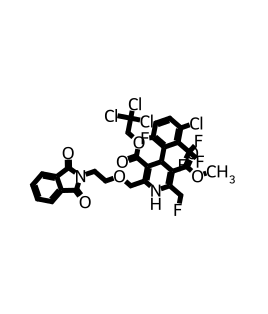 COC(=O)C1=C(CF)NC(COCCN2C(=O)c3ccccc3C2=O)=C(C(=O)OCC(Cl)(Cl)Cl)C1c1c(F)ccc(Cl)c1C(F)(F)F